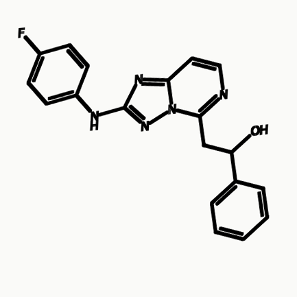 OC(Cc1nccc2nc(Nc3ccc(F)cc3)nn12)c1ccccc1